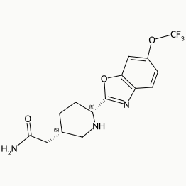 NC(=O)C[C@@H]1CC[C@H](c2nc3ccc(OC(F)(F)F)cc3o2)NC1